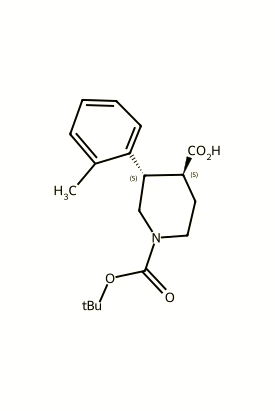 Cc1ccccc1[C@H]1CN(C(=O)OC(C)(C)C)CC[C@@H]1C(=O)O